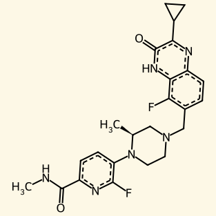 CNC(=O)c1ccc(N2CCN(Cc3ccc4nc(C5CC5)c(=O)[nH]c4c3F)C[C@@H]2C)c(F)n1